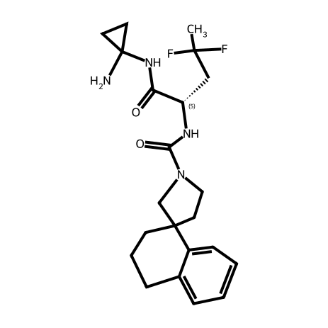 CC(F)(F)C[C@H](NC(=O)N1CCC2(CCCc3ccccc32)C1)C(=O)NC1(N)CC1